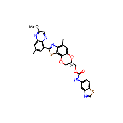 COc1cnc2c(-c3nc4c(C)cc5c(c4s3)OC[C@H](COC(=O)Nc3ccc4scnc4c3)O5)cc(C)cc2n1